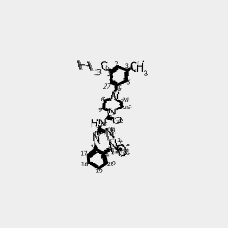 Cc1cc(C)cc(N2CCN(C(=O)Nc3nc4ccccc4[n+]([O-])n3)CC2)c1